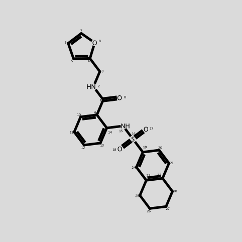 O=C(NCc1ccco1)c1ccccc1NS(=O)(=O)c1ccc2c(c1)CCCC2